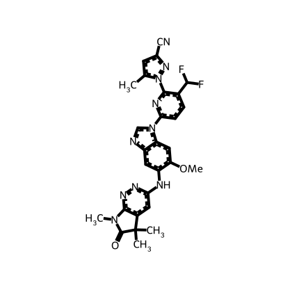 COc1cc2c(cc1Nc1cc3c(nn1)N(C)C(=O)C3(C)C)ncn2-c1ccc(C(F)F)c(-n2nc(C#N)cc2C)n1